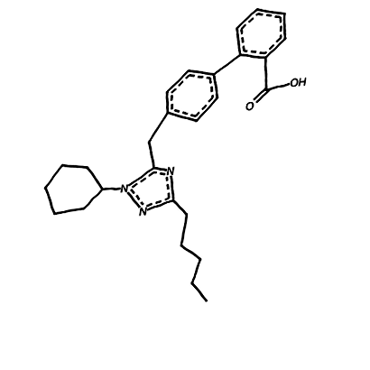 CCCCCc1nc(Cc2ccc(-c3ccccc3C(=O)O)cc2)n(C2CCCCC2)n1